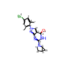 Cc1cc(Br)cc(C)c1-n1cc2c(=O)[nH]c(N3CCC4CC43)nc2n1